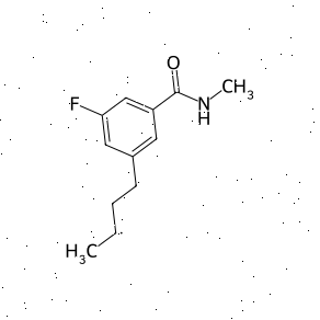 C[CH]CCc1cc(F)cc(C(=O)NC)c1